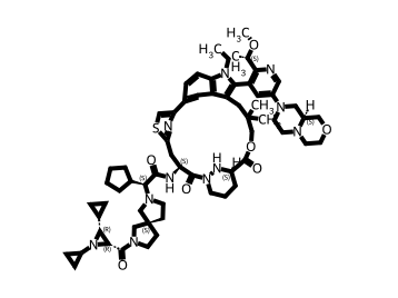 CCn1c(-c2cc(N3CCN4CCOC[C@@H]4C3)cnc2[C@H](C)OC)c2c3cc(ccc31)-c1csc(n1)C[C@H](NC(=O)[C@H](C1CCCC1)N1CC[C@]3(CCN(C(=O)[C@H]4[C@@H](C5CC5)N4C4CC4)C3)C1)C(=O)N1CCC[C@H](N1)C(=O)OCC(C)(C)C2